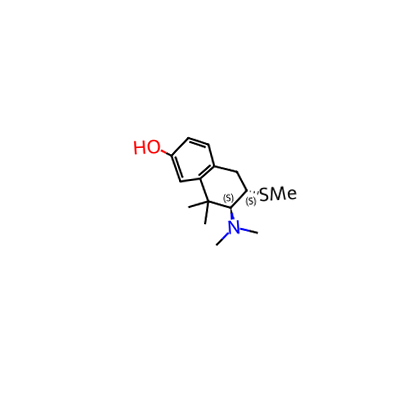 CS[C@H]1Cc2ccc(O)cc2C(C)(C)[C@@H]1N(C)C